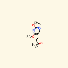 COc1ncc(CCC(C)=O)c(OC)n1